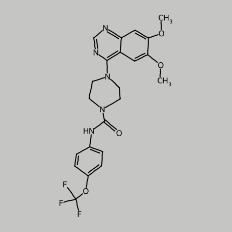 COc1cc2ncnc(N3CCN(C(=O)Nc4ccc(OC(F)(F)F)cc4)CC3)c2cc1OC